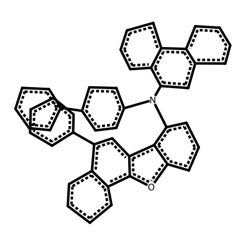 c1ccc(-c2ccc(N(c3cc4ccccc4c4ccccc34)c3cccc4oc5c6ccccc6c(-c6ccccc6)cc5c34)cc2)cc1